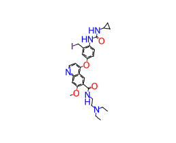 CCN(CC)CCNC(=O)c1cc2c(Oc3ccc(NC(=O)NC4CC4)c(CI)c3)ccnc2cc1OC